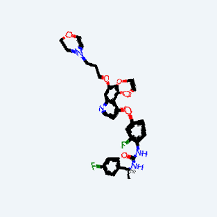 C[C@H](NC(=O)Nc1ccc(Oc2ccnc3cc(OCCCN4CCOCC4)c4c(c23)OCCO4)cc1F)c1ccc(F)cc1